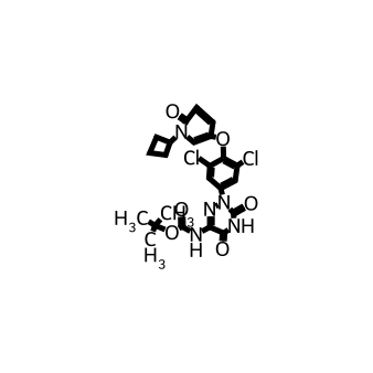 CC(C)(C)OC(=O)Nc1nn(-c2cc(Cl)c(Oc3ccc(=O)n(C4CCC4)c3)c(Cl)c2)c(=O)[nH]c1=O